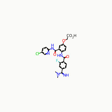 CN(C)C(=N)c1ccc(C(=O)Nc2ccc(OCC(=O)O)cc2C(=O)Nc2ccc(Cl)cn2)c(F)c1